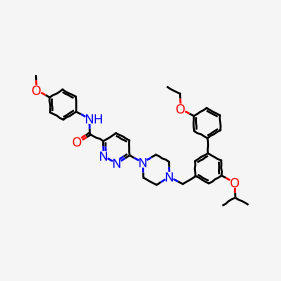 CCOc1cccc(-c2cc(CN3CCN(c4ccc(C(=O)Nc5ccc(OC)cc5)nn4)CC3)cc(OC(C)C)c2)c1